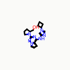 OCC1CCCN1c1nc(Nc2cn(C3CCC3)cn2)c2cccn2n1